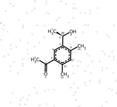 CC(=O)c1cc([C@@H](C)O)c(C)cc1C